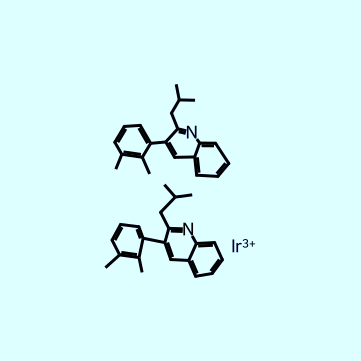 Cc1cccc(-c2cc3ccccc3nc2CC(C)C)c1C.Cc1cccc(-c2cc3ccccc3nc2CC(C)C)c1C.[Ir+3]